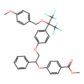 COC(=O)c1ccc(OC(COc2ccc(C(OCc3ccc(OC)cc3)(C(F)(F)F)C(F)(F)F)cc2)c2ccccc2)cc1